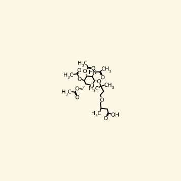 CC(=O)N[C@H]1[C@H](OC(C)(C)CCOCC(C)CC(=O)O)O[C@H](COC(C)=O)C(OC(C)=O)[C@@H]1OC(C)=O